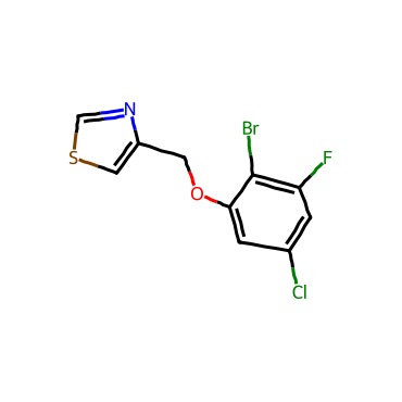 Fc1cc(Cl)cc(OCc2cscn2)c1Br